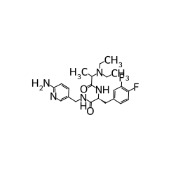 CCN(CC)C(C)C(=O)N[C@@H](Cc1ccc(F)c(F)c1)C(=O)NCc1ccc(N)nc1